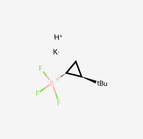 CC(C)(C)[C@@H]1C[C@H]1[B-](F)(F)F.[H+].[K]